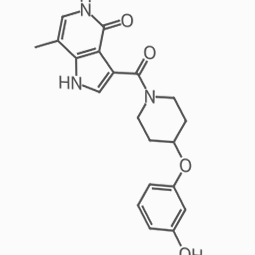 Cc1c[nH]c(=O)c2c(C(=O)N3CCC(Oc4cccc(O)c4)CC3)c[nH]c12